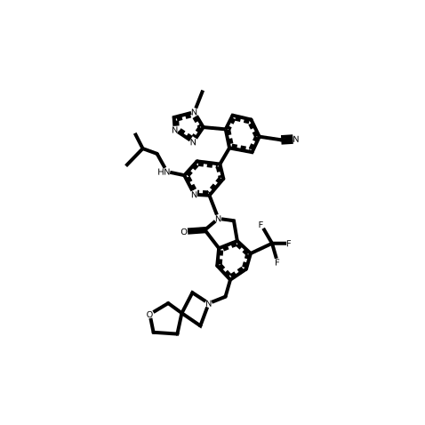 CC(C)CNc1cc(-c2cc(C#N)ccc2-c2nncn2C)cc(N2Cc3c(cc(CN4CC5(CCOC5)C4)cc3C(F)(F)F)C2=O)n1